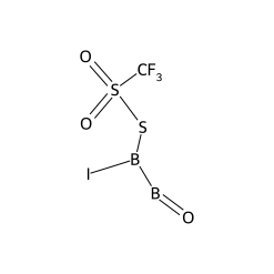 O=BB(I)SS(=O)(=O)C(F)(F)F